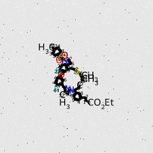 CCOC(=O)CCc1cccc(C2CCCC(C)(C)CSCCc3c(c(F)cc4c3ccn4S(=O)(=O)c3ccc(C)cc3)Oc3ccc(F)c(c3)-c3nn2cc3C)c1